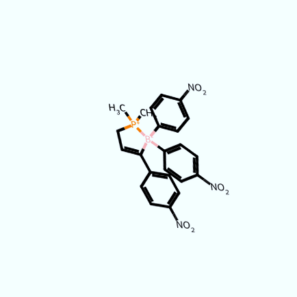 C[P+]1(C)CC=C(c2ccc([N+](=O)[O-])cc2)[B-]1(c1ccc([N+](=O)[O-])cc1)c1ccc([N+](=O)[O-])cc1